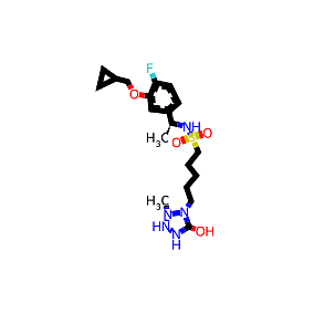 C[C@@H](NS(=O)(=O)CCCCCN1C(O)NNN1C)c1ccc(F)c(OCC2CC2)c1